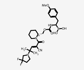 COc1ccc(CC(NC(=O)OC[C@H]2CCCCN2C(=O)C(C#N)=CC(C)(C)N2CCC(F)(F)C2)B(O)O)cc1